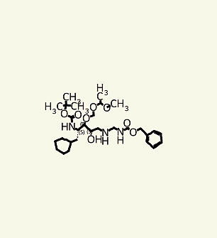 COC(C)OCO[C@H]([C@H](CC1CCCCC1)NC(=O)OC(C)(C)C)[C@@H](O)CNCNC(=O)OCc1ccccc1